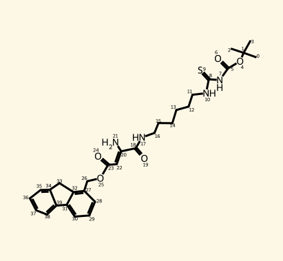 CC(C)(C)OC(=O)NC(=S)NCCCCCCNC(=O)C(N)=CC(=O)OCc1cccc2c1Cc1ccccc1-2